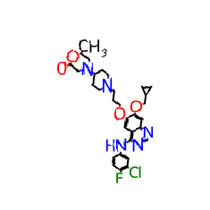 CC1CN(C2CCN(CCCOc3cc4c(Nc5ccc(F)c(Cl)c5)ncnc4cc3OCC3CC3)CC2)CC(=O)O1